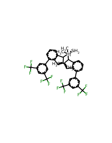 CC1=Cc2c(-c3cc(C(F)(F)F)cc(C(F)(F)F)c3)cccc2[CH]1[Hf]([CH3])([CH3])(=[SiH2])[CH]1C(C)=Cc2c(-c3cc(C(F)(F)F)cc(C(F)(F)F)c3)cccc21